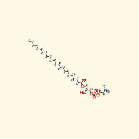 CCCCCCCCCCCCCCCCCCCCCCCC(=O)OCC(O)COP(=O)(O)OCCN(C)C